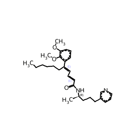 CCCCCC/C(=C\C=C\C(=O)N[C@H](C)CCCc1cccnc1)c1cccc(OC)c1OC